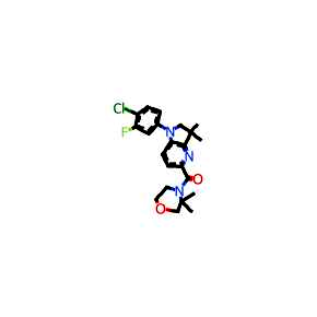 CC1(C)CN(c2ccc(Cl)c(F)c2)c2ccc(C(=O)N3CCOCC3(C)C)nc21